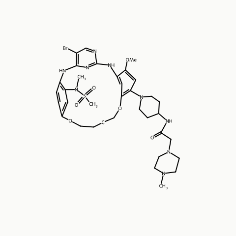 COc1cc(N2CCC(NC(=O)CN3CCN(C)CC3)CC2)c2cc1Nc1ncc(Br)c(n1)Nc1ccc(cc1N(C)S(C)(=O)=O)OCCCCO2